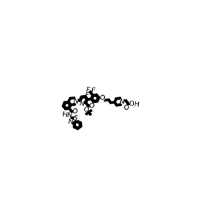 CC(C)(C)OC(=O)c1nc(N2CCc3cccc(C(=O)Nc4nc5ccccc5s4)c3C2)ccc1-c1ccc(OCCCC2CCN(CC(=O)O)CC2)cc1C(F)(F)F